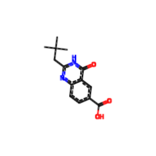 CC(C)(C)Cc1nc2ccc(C(=O)O)cc2c(=O)[nH]1